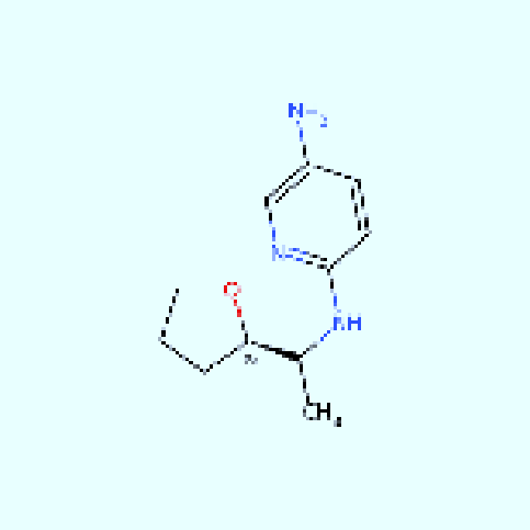 CC(Nc1ccc(N)cn1)[C@H]1CCCO1